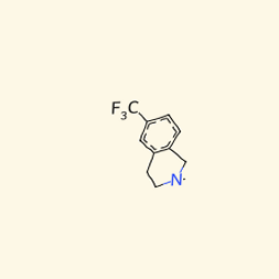 FC(F)(F)c1ccc2c(c1)CC[N]C2